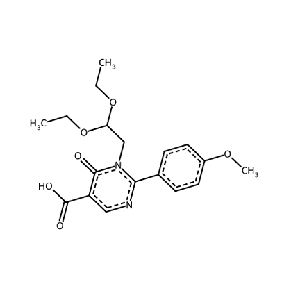 CCOC(Cn1c(-c2ccc(OC)cc2)ncc(C(=O)O)c1=O)OCC